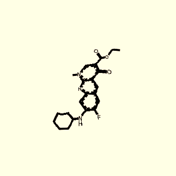 CCOC(=O)c1cn(C)c2nc3cc(NC4CCCCC4)c(F)cc3cc2c1=O